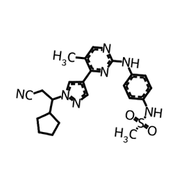 Cc1cnc(Nc2ccc(NS(C)(=O)=O)cc2)nc1-c1cnn(C(CC#N)C2CCCC2)c1